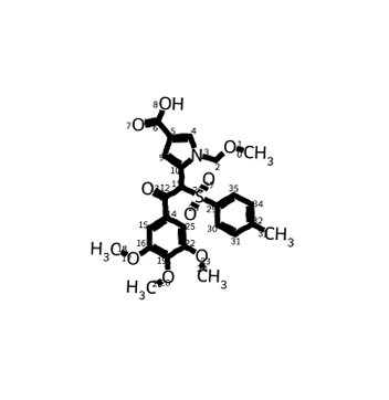 COCn1cc(C(=O)O)cc1C(C(=O)c1cc(OC)c(OC)c(OC)c1)S(=O)(=O)c1ccc(C)cc1